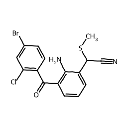 CSC(C#N)c1cccc(C(=O)c2ccc(Br)cc2Cl)c1N